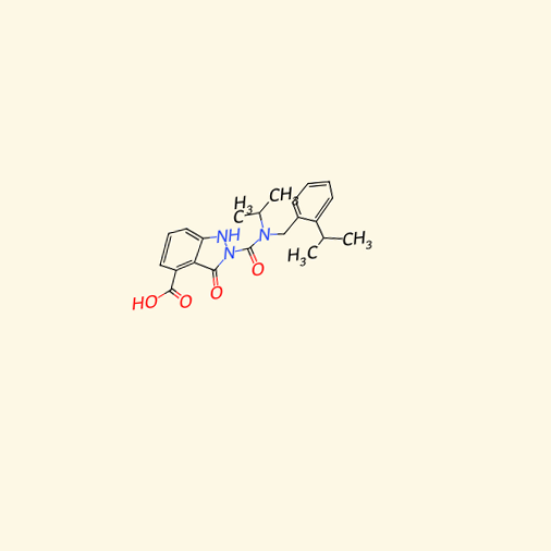 CC(C)c1ccccc1CN(C(=O)n1[nH]c2cccc(C(=O)O)c2c1=O)C(C)C